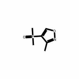 Cc1nocc1P(C)(C)=O